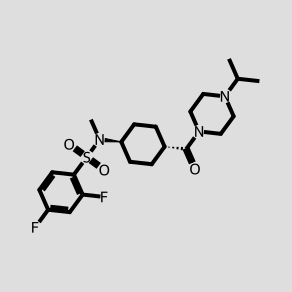 CC(C)N1CCN(C(=O)[C@H]2CC[C@H](N(C)S(=O)(=O)c3ccc(F)cc3F)CC2)CC1